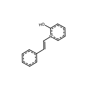 Oc1cccc[n+]1C=Cc1ccccc1